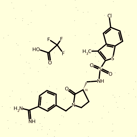 Cc1c(S(=O)(=O)NC[C@@H]2CCN(Cc3cccc(C(=N)N)c3)C2=O)sc2ccc(Cl)cc12.O=C(O)C(F)(F)F